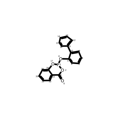 O=C1OP(Oc2ccccc2-c2ccccc2)Oc2ccccc21